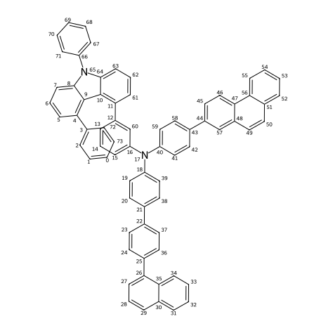 c1ccc(-c2cccc3c2c2c(-c4cccc(N(c5ccc(-c6ccc(-c7cccc8ccccc78)cc6)cc5)c5ccc(-c6ccc7c(ccc8ccccc87)c6)cc5)c4)cccc2n3-c2ccccc2)cc1